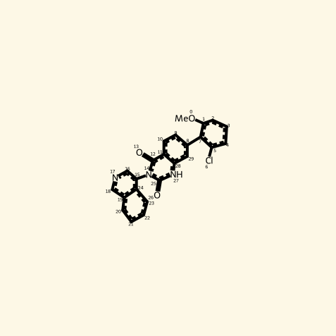 COc1cccc(Cl)c1-c1ccc2c(=O)n(-c3cncc4ccccc34)c(=O)[nH]c2c1